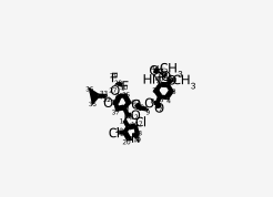 COc1ccc(C(=O)OCC(=O)O[C@@H](Cc2c(Cl)cncc2Cl)c2ccc(OC(F)F)c(OCC3CC3)c2)cc1NS(C)(=O)=O